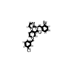 O=C1C2=C(CCN(Cc3cccc(Cl)c3)C2)N2CCN=C2N1Cc1ccccc1Br